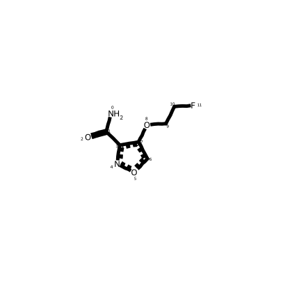 NC(=O)c1nocc1OCCF